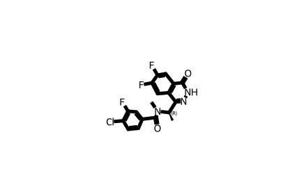 C[C@H](c1n[nH]c(=O)c2cc(F)c(F)cc12)N(C)C(=O)c1ccc(Cl)c(F)c1